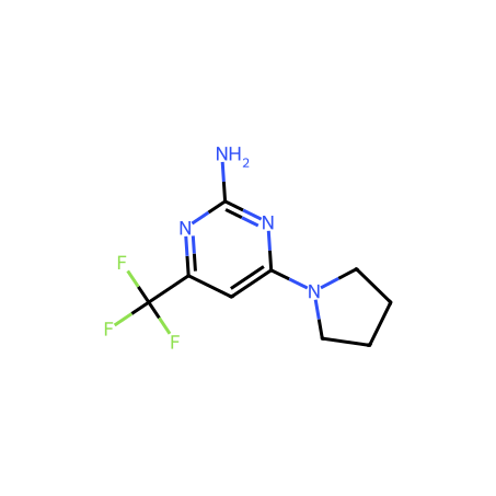 Nc1nc(N2CCCC2)cc(C(F)(F)F)n1